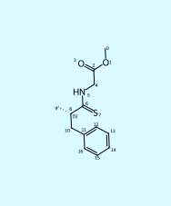 COC(=O)CNC(=S)[C@@H](C)Cc1ccccc1